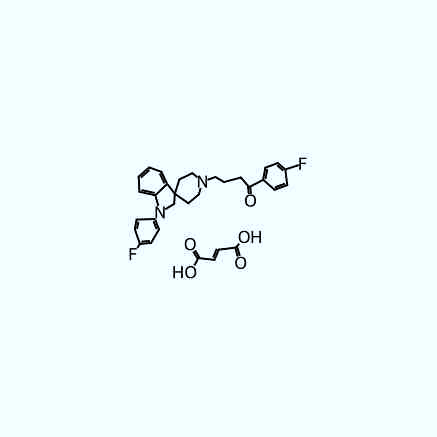 O=C(CCCN1CCC2(CC1)CN(c1ccc(F)cc1)c1ccccc12)c1ccc(F)cc1.O=C(O)C=CC(=O)O